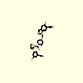 N#Cc1cc(F)cc([C@@H]2CCON2C(=O)[C@H]2CC[C@H](Cn3ncc4cc(F)c(C#N)cc43)CC2)c1